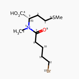 CSCC[C@@H](C(=O)O)N(C)C(=O)CCCCBr